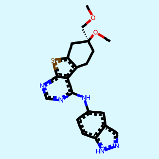 COC[C@]1(OC)CCc2c(sc3ncnc(Nc4ccc5[nH]ncc5c4)c23)C1